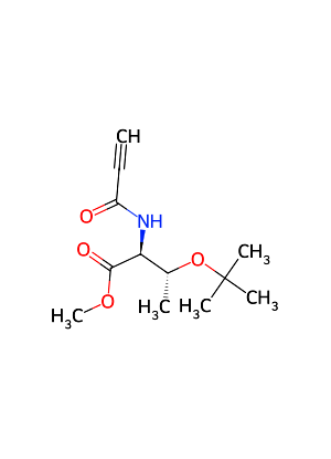 C#CC(=O)N[C@H](C(=O)OC)[C@@H](C)OC(C)(C)C